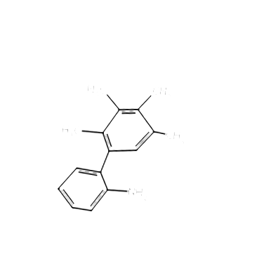 Cc1cc(-c2ccccc2N)c(C)c(C)c1C